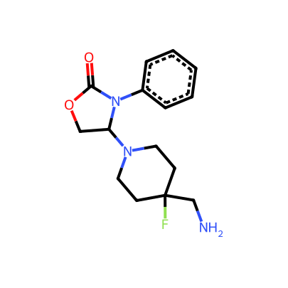 NCC1(F)CCN(C2COC(=O)N2c2ccccc2)CC1